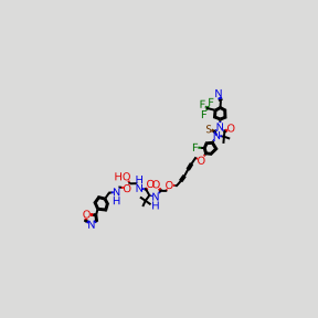 CC(C)(C)[C@H](NC(=O)COCC#CC#CCOc1ccc(N2C(=S)N(c3ccc(C#N)c(C(F)(F)F)c3)C(=O)C2(C)C)cc1F)C(=O)NCC(O)OCNCc1ccc(-c2cnco2)cc1